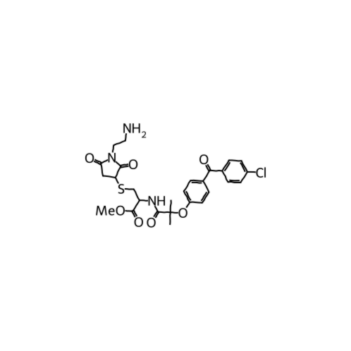 COC(=O)C(CSC1CC(=O)N(CCN)C1=O)NC(=O)C(C)(C)Oc1ccc(C(=O)c2ccc(Cl)cc2)cc1